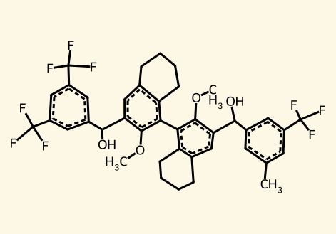 COc1c(C(O)c2cc(C)cc(C(F)(F)F)c2)cc2c(c1-c1c3c(cc(C(O)c4cc(C(F)(F)F)cc(C(F)(F)F)c4)c1OC)CCCC3)CCCC2